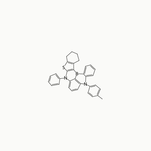 Cc1ccc(N2c3ccccc3B3c4c2cccc4N(c2ccccc2)c2sc4c(c23)CCCC4)cc1